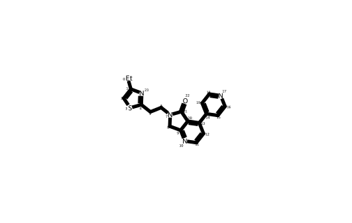 CCc1csc(CCN2Cc3nccc(-c4ccncc4)c3C2=O)n1